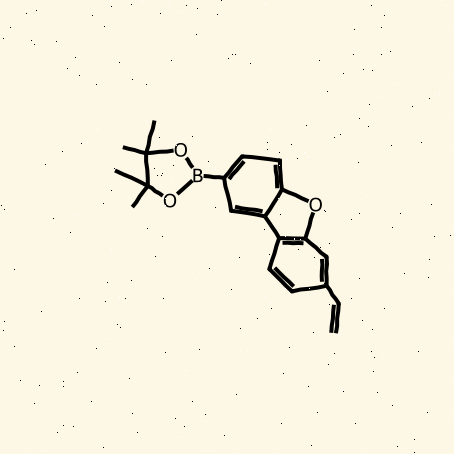 C=Cc1ccc2c(c1)oc1ccc(B3OC(C)(C)C(C)(C)O3)cc12